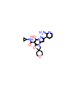 CC1(Cn2c(=O)c(C(=O)NC3CC3)c(O)n3nc(-c4cccnc4N)cc23)CCOCC1